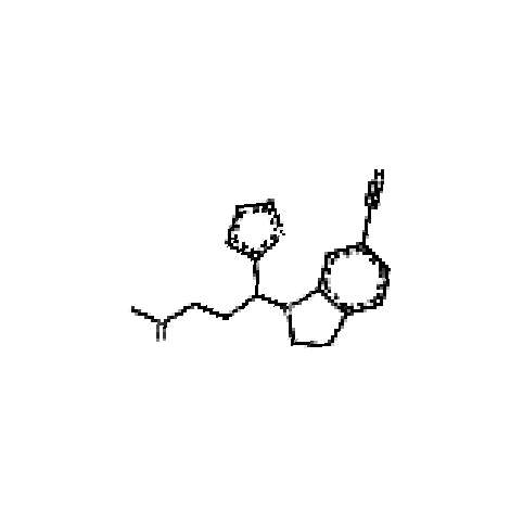 CNCCC(c1cccs1)N1CCc2ccc(C#N)cc21